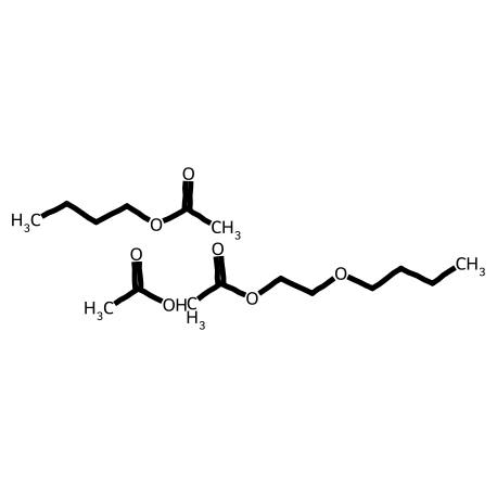 CC(=O)O.CCCCOC(C)=O.CCCCOCCOC(C)=O